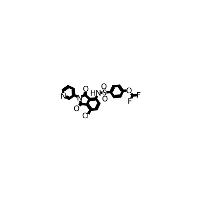 O=C1c2c(Cl)ccc(NS(=O)(=O)c3ccc(OC(F)F)cc3)c2C(=O)N1c1cccnc1